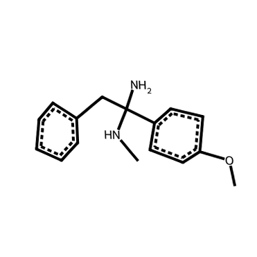 CNC(N)(Cc1ccccc1)c1ccc(OC)cc1